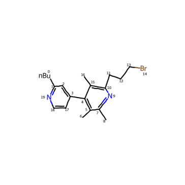 CCCCc1cc(-c2c(C)c(C)nc(CCCBr)c2C)ccn1